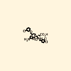 N[C@@H]1C[C@H]2C(=O)N([C@H](CCC(=O)O)C(=O)NCc3ccc(Cl)c(Cl)c3)CCC(COc3cccc(Cl)c3)N2C1